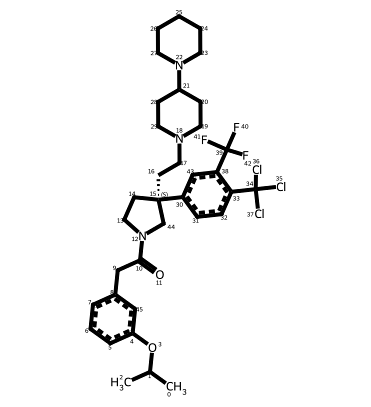 CC(C)Oc1cccc(CC(=O)N2CC[C@@](CCN3CCC(N4CCCCC4)CC3)(c3ccc(C(Cl)(Cl)Cl)c(C(F)(F)F)c3)C2)c1